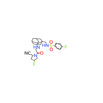 N#C[C@@H]1C[C@H](F)CN1C(=O)CNC12CC3CC(CC(CNS(=O)(=O)c4ccc(F)cc4)(C3)C1)C2